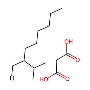 O=C(O)CC(=O)O.[Li][CH2]C(CCCCCC)C(C)C